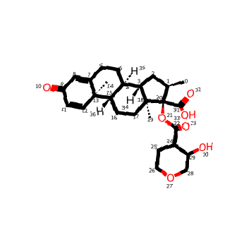 C[C@@H]1C[C@H]2[C@@H]3CCC4=CC(=O)C=C[C@]4(C)[C@H]3CC[C@]2(C)[C@@]1(OC(=O)C1CCOCC1O)C(=O)O